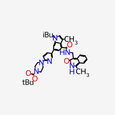 CCC(C)n1cc(C)c2c(C(=O)NCc3c(=O)[nH]c(C)c4ccccc34)cc(-c3ccc(N4CCN(C(=O)OC(C)(C)C)CC4)nc3)cc21